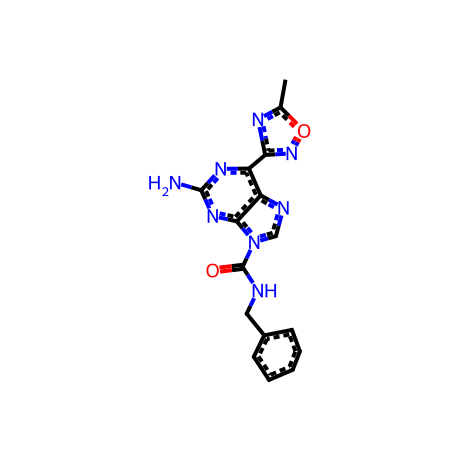 Cc1nc(-c2nc(N)nc3c2ncn3C(=O)NCc2ccccc2)no1